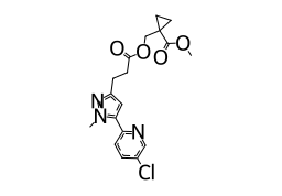 COC(=O)C1(COC(=O)CCc2cc(-c3ccc(Cl)cn3)n(C)n2)CC1